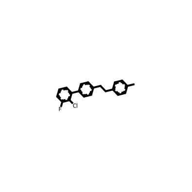 Cc1ccc(CCc2ccc(-c3cccc(F)c3Cl)cc2)cc1